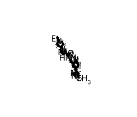 CCN1CCC(n2cc(C(=O)Nc3cc4cc(-c5cn(C)nn5)ccc4nn3)cn2)CC1